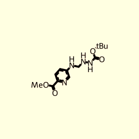 COC(=O)c1ccc(NCNNC(=O)OC(C)(C)C)cn1